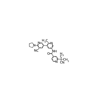 Cc1ncc(NC(=O)c2ccnc(C(C)(C)C#N)c2)cc1-c1cnc(N2CCCC2)c(C#N)c1